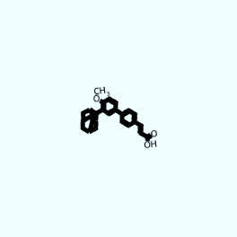 COc1ccc(-c2ccc(C=CC(=O)O)cc2)cc1C1C2CC3CC(C2)CC1C3